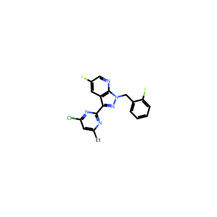 CCc1[c]c(Cl)nc(-c2nn(Cc3ccccc3F)c3ncc(F)cc23)n1